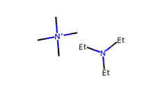 CCN(CC)CC.C[N+](C)(C)C